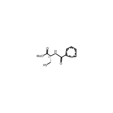 COC(=O)[C@@H](CS)NC(=O)c1ccccn1